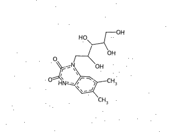 Cc1cc2[nH]c(=O)c(=O)n(CC(O)C(O)C(O)CO)c2cc1C